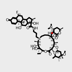 CC[C@H]1OC(=O)[C@H](C)[C@@H](O[C@@H]2C[C@](C)(OC)[C@H](C)C(C)O2)[C@H](C)[C@@H](O[C@@H]2O[C@H](C)C[C@@H](N(C)C)[C@H]2O)[C@@](O)(CC)CCCN(CCCNC(=O)[C@@]2(O)[C@H](C)CC3C4C[C@H](F)C5=CC(=O)C=C[C@]5(C)[C@@]4(F)[C@@H](O)C[C@@]32C)[C@H](C)[C@@H](O)[C@]1(C)O